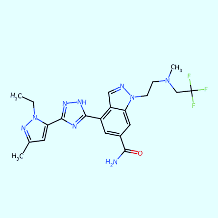 CCn1nc(C)cc1-c1n[nH]c(-c2cc(C(N)=O)cc3c2cnn3CCN(C)CC(F)(F)F)n1